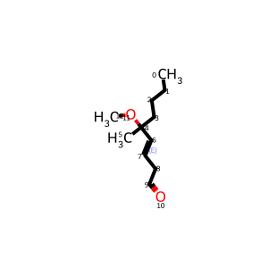 CCCCC(C)(/C=C/CC=O)OC